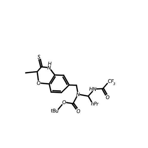 CCCC(NC(=O)C(F)(F)F)N(Cc1ccc2c(c1)NC(=S)C(C)O2)C(=O)OC(C)(C)C